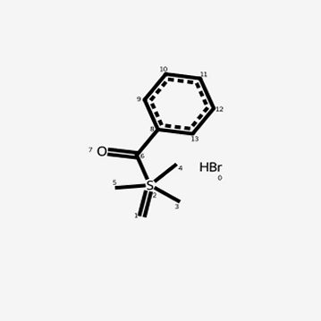 Br.C=S(C)(C)(C)C(=O)c1ccccc1